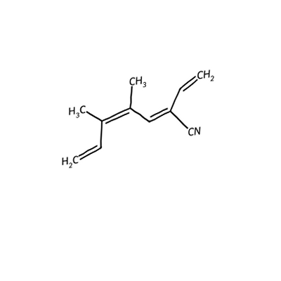 C=C/C(C)=C(C)\C=C(\C#N)C=C